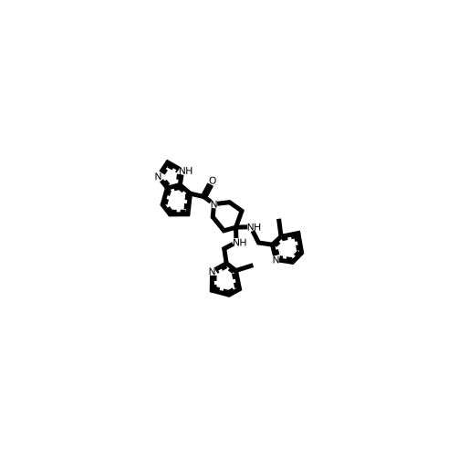 Cc1cccnc1CNC1(NCc2ncccc2C)CCN(C(=O)c2cccc3nc[nH]c23)CC1